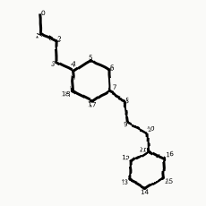 CCCCC1CCC(CCCC2CCCCC2)CC1